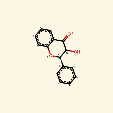 O=C1c2ccccc2O[C@H](c2ccccc2)C1O